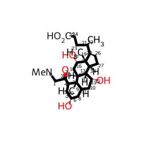 CNCC(=O)C1C[C@@H](O)C[C@H]2C[C@@H](O)[C@@H]3[C@H](C[C@H](O)[C@]4(C)[C@@H]([C@H](C)CCC(=O)O)CC[C@@H]34)[C@@]12C